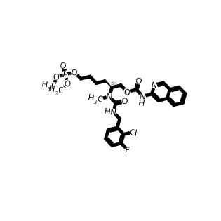 COP(=O)(OC)OCCCC[C@@H](COC(=O)Nc1cc2ccccc2cn1)N(C)C(=O)NCc1cccc(F)c1Cl